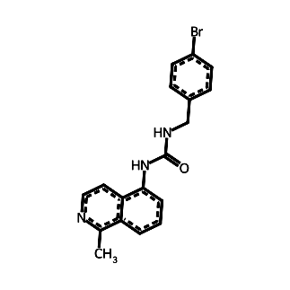 Cc1nccc2c(NC(=O)NCc3ccc(Br)cc3)cccc12